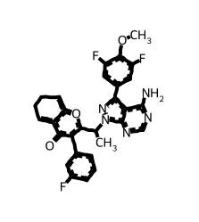 COc1c(F)cc(-c2nn(C(C)c3oc4c(c(=O)c3-c3cccc(F)c3)=CCCC=4)c3ncnc(N)c23)cc1F